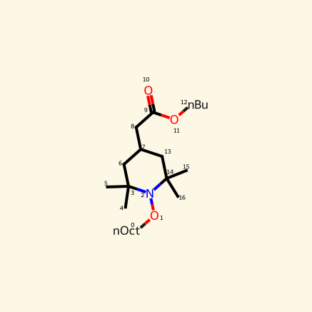 CCCCCCCCON1C(C)(C)CC(CC(=O)OCCCC)CC1(C)C